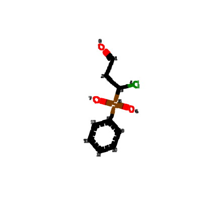 O=[C]CC(Cl)S(=O)(=O)c1ccccc1